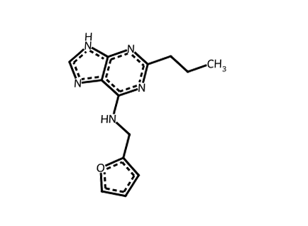 CCCc1nc(NCc2ccco2)c2nc[nH]c2n1